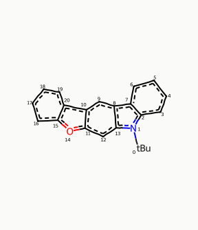 CC(C)(C)n1c2ccccc2c2cc3c(cc21)oc1ccccc13